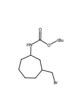 CC(C)(C)OC(=O)NC1CCCCC(CBr)C1